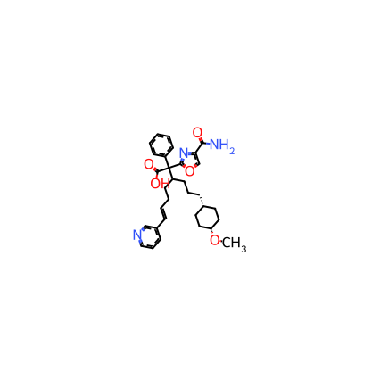 CO[C@H]1CC[C@@H](CCCC(CCC=Cc2cccnc2)C(C(=O)O)(c2ccccc2)c2nc(C(N)=O)co2)CC1